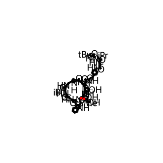 CC[C@H](C)[C@@H]1NC(=O)CNC(=O)[C@@H](Cc2c(SC)[nH]c3ccccc23)NC(=O)[C@H]([C@@H](C)[C@@H](O)CO)N[C@@H]2C[C@@H](O)CN2C(=O)[C@H](CC(=O)NOCc2ccc(NC(=O)[C@H](C)NC(=O)C(NC(=O)OC(C)(C)C)C(C)C)cc2)NC(=O)C2C=C(CNC1=O)N2